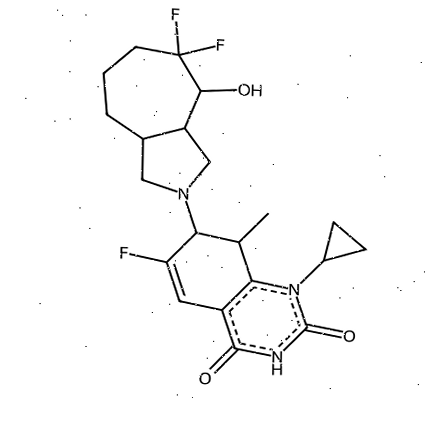 CC1c2c(c(=O)[nH]c(=O)n2C2CC2)C=C(F)C1N1CC2CCCC(F)(F)C(O)C2C1